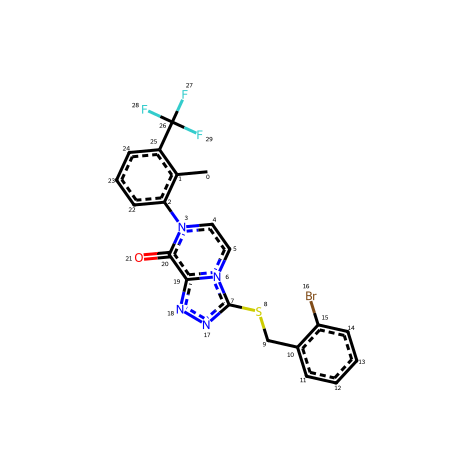 Cc1c(-n2ccn3c(SCc4ccccc4Br)nnc3c2=O)cccc1C(F)(F)F